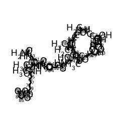 C=C1C[C@@H]2CC[C@]34C[C@@H](O)[C@@H](O3)C3C[C@@H](O4)[C@H]4O[C@H](CC[C@@H]4O3)CC(=O)C[C@H]3C(C[C@H]4O[C@@H](CC[C@@H]1O2)C[C@@H](C)C4=C)O[C@H](C[C@H](O)CNC(=O)OCc1ccc(NC(=O)[C@H](CCCNC(N)=O)NC(=O)[C@@H](NC(=O)CCCCCC(=O)ON2C(=O)CCC2=O)C(C)C)cc1)[C@@H]3OC